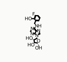 OC[C@H]1O[C@@H](n2cnc3c(NCc4cccc(F)c4O)ncnc32)[C@@H](O)[C@@H]1O